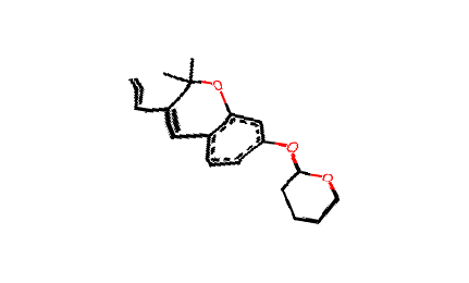 C=CC1=Cc2ccc(OC3CCCCO3)cc2OC1(C)C